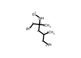 CCNC(C)(CC(C)C)CC(C)CC(C)C